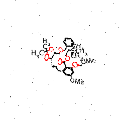 COCOc1cc(OC)cc(CCC[C@@H]2OC(C)(C)OC2COCc2ccccc2)c1C(=O)OCC[Si](C)(C)C